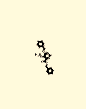 O=C(OCc1ccccc1)c1ncnc(OCc2ccccc2)c1OP